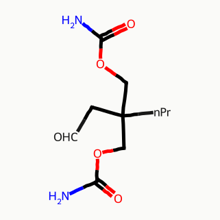 CCCC(CC=O)(COC(N)=O)COC(N)=O